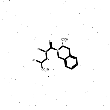 CCOC(=O)[C@H](CN(CC)C(=O)N1Cc2ccccc2C[C@H]1C(=O)O)C(C)C